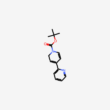 CC(C)(C)OC(=O)N1C=CC(c2ccccn2)=CC1